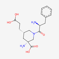 N[C@@H](Cc1ccccc1)C(=O)N1C[C@@H](CCB(O)O)C[C@](N)(C(=O)O)C1